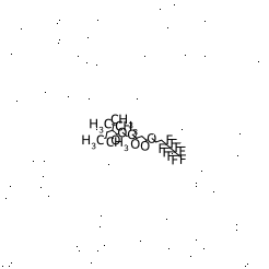 CC(C)CC(C(=O)OCOC(=O)CC(=O)OCCC(F)(F)C(F)(F)C(F)(F)C(F)(F)F)C(C)(C)C